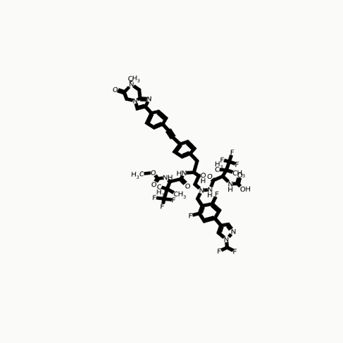 COC(=O)NC(C(=O)NC(Cc1ccc(C#Cc2ccc(-c3cn4c(n3)CN(C)C(=O)C4)cc2)cc1)C(O)CN(Cc1c(F)cc(-c2cnn(C(F)F)c2)cc1F)NC(=O)C(NC(=O)O)C(C)(C)C(F)(F)F)C(C)(C)C(F)(F)F